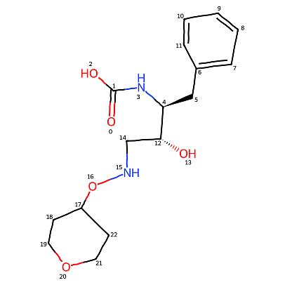 O=C(O)N[C@@H](Cc1ccccc1)[C@H](O)CNOC1CCOCC1